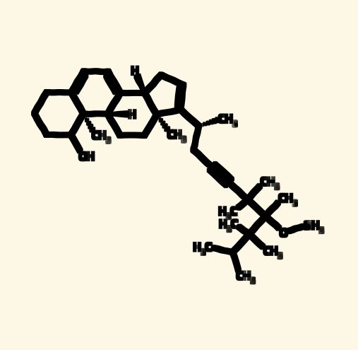 CC(C)C(C)(C)C(C)(O[SiH3])C(C)(C)C#CC[C@@H](C)C1=CC[C@H]2C3=CC=C4CCCC(O)[C@]4(C)[C@H]3CC[C@]12C